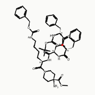 COC(=O)C1(N)CCN(C(=O)[C@@H](CCCCNC(=O)OCc2ccccc2)NC(=O)[C@@H](CC(C)C)NC(=O)[C@@H](Cc2ccccc2)NC(=O)[C@@H](Cc2ccccc2)NC(=O)OC(C)(C)C)CC1